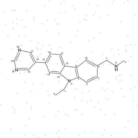 CCn1c2ccc(CNC)cc2c2ccc(-c3cncnc3)cc21